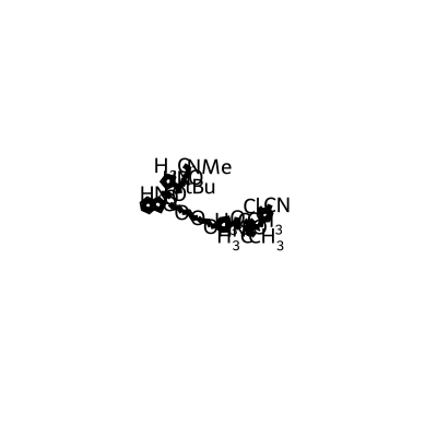 CN[C@@H](C)C(=O)N[C@H](C(=O)C1CCC[C@H]1C(=O)N[C@H]1c2ccccc2C[C@H]1OCCOCCOCCOc1ccc(C(=O)NC2C(C)(C)C(Oc3ccc(C#N)c(Cl)c3)C2(C)C)cc1)C(C)(C)C